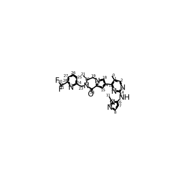 Cc1cnc(Nc2ccnn2C)nc1-c1cc2n(c1)C[C@H](C)N(Cc1cccc(C(F)F)n1)C2=O